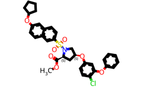 COC(=O)[C@@H]1C[C@H](Oc2ccc(Cl)c(Oc3ccccc3)c2)CN1S(=O)(=O)c1ccc2cc(OC3CCCC3)ccc2c1